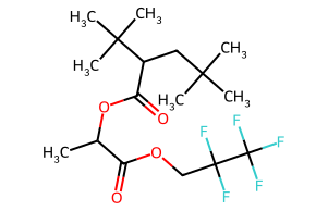 CC(OC(=O)C(CC(C)(C)C)C(C)(C)C)C(=O)OCC(F)(F)C(F)(F)F